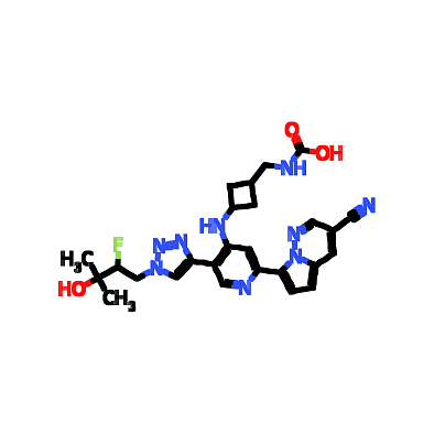 CC(C)(O)C(F)Cn1cc(-c2cnc(-c3ccc4cc(C#N)cnn34)cc2NC2CC(CNC(=O)O)C2)nn1